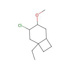 CCC12CCC1CC(OC)C(Cl)C2